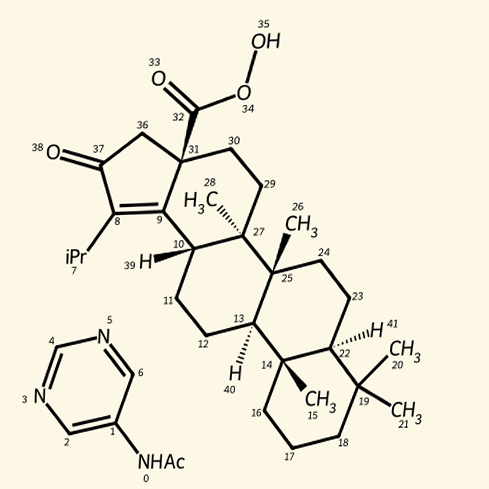 CC(=O)Nc1cncnc1.CC(C)C1=C2[C@H]3CC[C@@H]4[C@@]5(C)CCCC(C)(C)[C@@H]5CC[C@@]4(C)[C@]3(C)CC[C@@]2(C(=O)OO)CC1=O